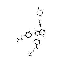 C=C(F)C(=O)Nc1ccc(-c2c(-c3cnc(C(=O)NCC4(F)CC4)c(Cl)c3)c3c(N)ncc(C#CCOC4CCN(C)CC4)c3n2C)c(C)c1